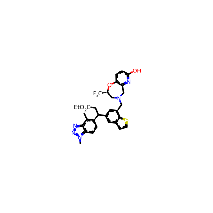 CCOC(=O)CC(c1cc(CN2Cc3nc(O)ccc3O[C@H](C(F)(F)F)C2)c2sccc2c1)c1ccc2c(nnn2C)c1C